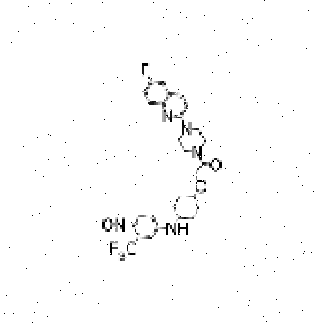 O=Nc1ccc(N[C@H]2CC[C@H](OCC(=O)N3CCN(c4ccc5cc(F)ccc5n4)CC3)CC2)cc1C(F)(F)F